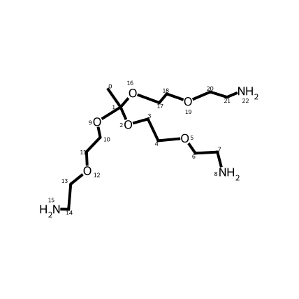 CC(OCCOCCN)(OCCOCCN)OCCOCCN